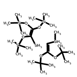 C[SiH2]C=C(OC(C)(C)C)OC(C)(C)C.C[Si](C)(C)OC([SiH3])=C(O[Si](C)(C)C)O[Si](C)(C)C